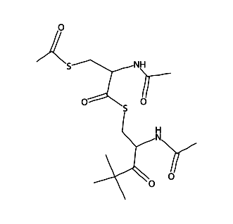 CC(=O)NC(CSC(C)=O)C(=O)SCC(NC(C)=O)C(=O)C(C)(C)C